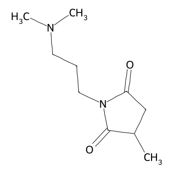 CC1CC(=O)N(CCCN(C)C)C1=O